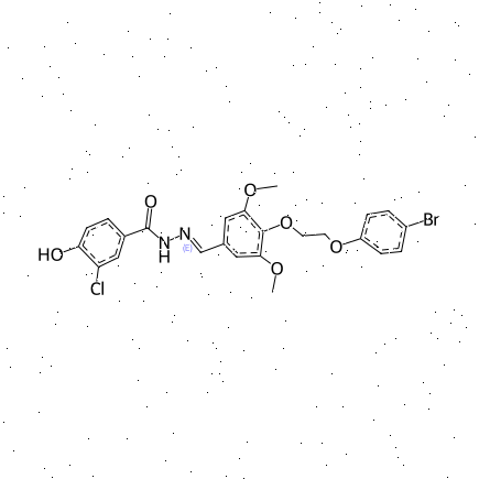 COc1cc(/C=N/NC(=O)c2ccc(O)c(Cl)c2)cc(OC)c1OCCOc1ccc(Br)cc1